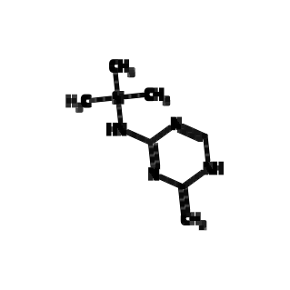 C=C1N=C(N[Si](C)(C)C)N=CN1